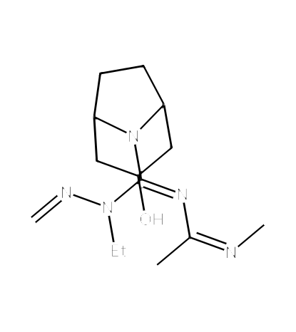 C=NN(CC)/C(=N\C(C)=N/C)N1C2CCC1CC(O)C2